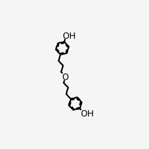 Oc1ccc(CCCOCCCc2ccc(O)cc2)cc1